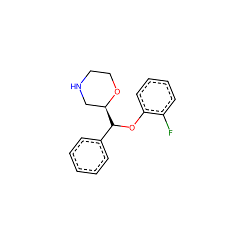 Fc1ccccc1OC(c1ccccc1)[C@H]1CNCCO1